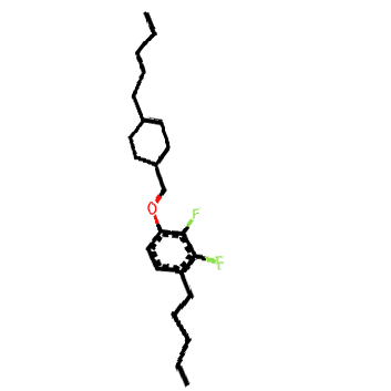 CCCCCc1ccc(OCC2CCC(CCCCC)CC2)c(F)c1F